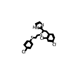 Clc1ccc(SCCSC(Cc2ccc(Cl)cc2Cl)c2ncc[nH]2)cc1